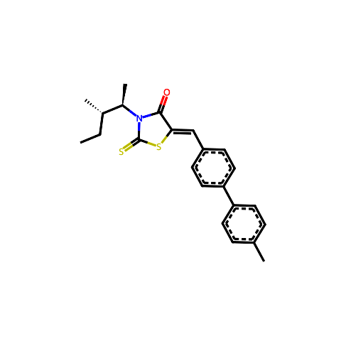 CC[C@H](C)[C@@H](C)N1C(=O)/C(=C/c2ccc(-c3ccc(C)cc3)cc2)SC1=S